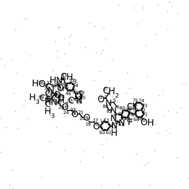 C=CC(=O)N1CCN(c2nc(Nc3ccc(OCCOCCOCCOCC(=O)N[C@H](C(=O)N4C[C@H](O)C[C@H]4C(=O)NC(C)c4ccc(-c5scnc5C)cc4)C(C)(C)C)cc3)nc3c(F)c(-c4cc(O)cc5ccccc45)c(Cl)cc23)CC1